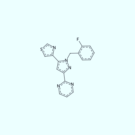 Fc1ccccc1Cn1nc(-c2ncccn2)cc1-c1cscn1